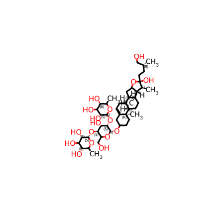 CC1O[C@@H](O[C@@H]2C(CO)O[C@@H](OC3CC[C@@]4(C)C(=CC[C@H]5[C@@H]6CC7OC(O)(CC[C@@H](C)CO)[C@@H](C)[C@@H]7[C@@]6(C)CC[C@@H]54)C3)[C@@H](O[C@@H]3OC(C)[C@H](O)C(O)[C@@H]3O)C2O)[C@@H](O)C(O)[C@H]1O